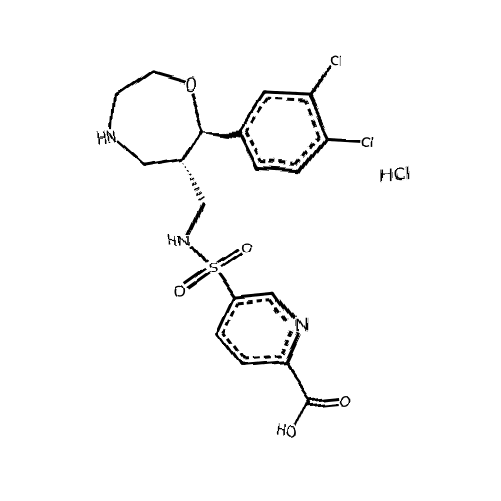 Cl.O=C(O)c1ccc(S(=O)(=O)NC[C@@H]2CNCCO[C@H]2c2ccc(Cl)c(Cl)c2)cn1